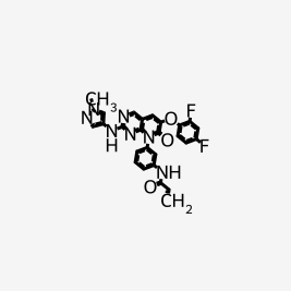 C=CC(=O)Nc1cccc(-n2c(=O)c(Oc3ccc(F)cc3F)cc3cnc(Nc4cnn(C)c4)nc32)c1